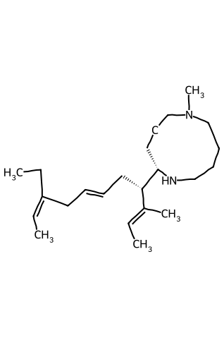 C/C=C(/CC)C/C=C/C[C@@H](/C(C)=C/C)[C@@H]1CCCN(C)CCCCN1